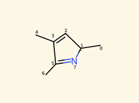 C[C]1C=C(C)C(C)=N1